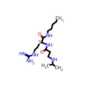 CCCCCNC(=O)[C@@H](CCCNC(=N)N)NC(=O)CCNC(C)C